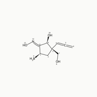 B[C@@H]1C[C@](C=C=C)(CO)[C@H](O)/C1=N/O